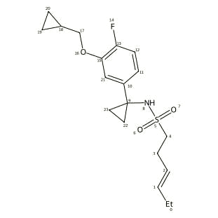 CC/C=C/CCS(=O)(=O)NC1(c2ccc(F)c(OCC3CC3)c2)CC1